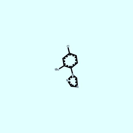 CC(C)(C)c1cc(Cl)ccc1-n1cncn1